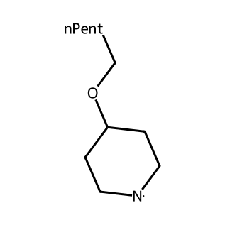 CCCCCCOC1CC[N]CC1